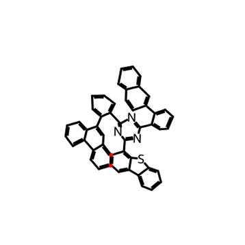 c1ccc(-c2nc(-c3ccccc3-c3cc4ccccc4c4ccccc34)nc(-c3cccc4c3sc3ccccc34)n2)c(-c2ccc3ccccc3c2)c1